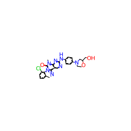 C/N=c1/c2cnc(Nc3ccc(N4CCOC(CO)C4)cc3)nc2n(C)c(=O)n1-c1c(C)cccc1Cl